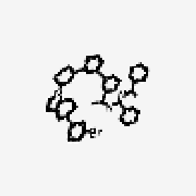 C/C(=N\C(=N/C(C)c1cccc(-c2cccc(-c3cccc(-n4ccc5cc(-c6cccc(Br)c6)ccc54)c3)c2)c1)c1ccccc1)c1ccccc1